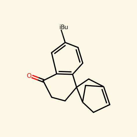 CCC(C)c1ccc2c(c1)C(=O)CCC21CC2=CCC1C2